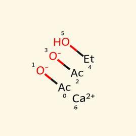 CC(=O)[O-].CC(=O)[O-].CCO.[Ca+2]